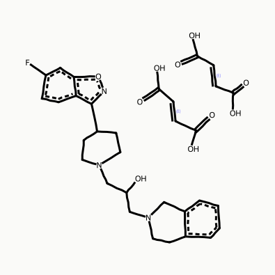 O=C(O)/C=C/C(=O)O.O=C(O)/C=C/C(=O)O.OC(CN1CCC(c2noc3cc(F)ccc23)CC1)CN1CCc2ccccc2C1